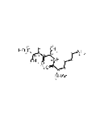 CC(=O)N[C@@H](CCCCN)C(=O)N[C@H](C)C(=O)N[C@H](C)C(=O)O